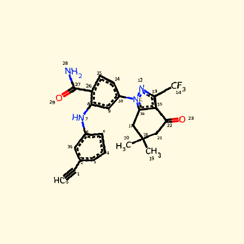 C#Cc1cccc(Nc2cc(-n3nc(C(F)(F)F)c4c3CC(C)(C)CC4=O)ccc2C(N)=O)c1